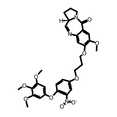 COc1cc2c(cc1OCCCOc1ccc(Oc3cc(OC)c(OC)c(OC)c3)c([N+](=O)[O-])c1)N=C[C@@H]1CCCN1C2=O